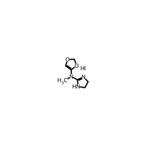 CN(C1=COCO1)C1=NCCN1.I